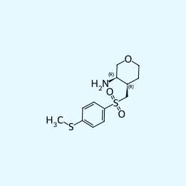 CSc1ccc(S(=O)(=O)C[C@@H]2CCOC[C@@H]2N)cc1